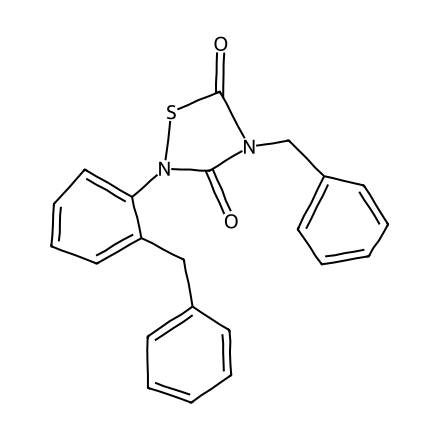 O=c1sn(-c2ccccc2Cc2ccccc2)c(=O)n1Cc1ccccc1